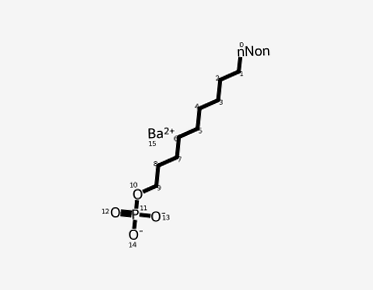 CCCCCCCCCCCCCCCCCCOP(=O)([O-])[O-].[Ba+2]